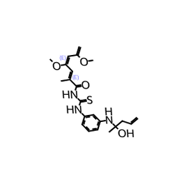 C=CCC(C)(O)Nc1cccc(NC(=S)NC(=O)/C(C)=C/C(=C\C(=C)OC)OC)c1